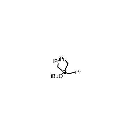 CC(C)CO[Si](CC(C)C)(CC(C)C)CC(C)C